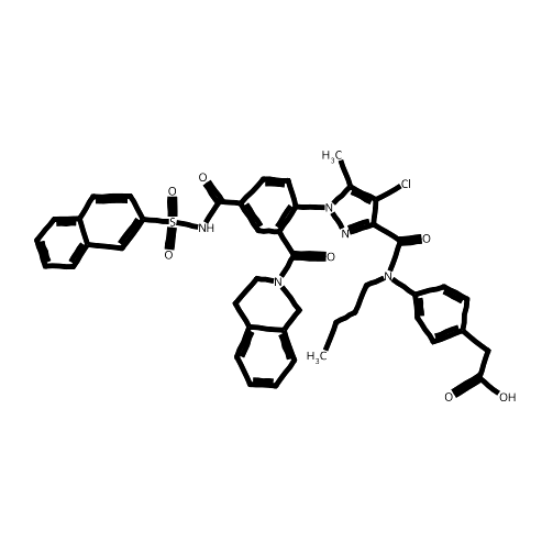 CCCCN(C(=O)c1nn(-c2ccc(C(=O)NS(=O)(=O)c3ccc4ccccc4c3)cc2C(=O)N2CCc3ccccc3C2)c(C)c1Cl)c1ccc(CC(=O)O)cc1